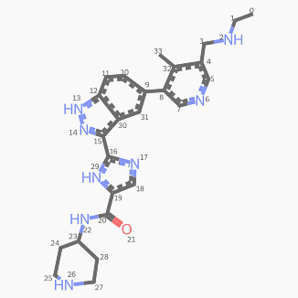 CCNCc1cncc(-c2ccc3[nH]nc(-c4ncc(C(=O)NC5CCNCC5)[nH]4)c3c2)c1C